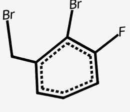 Fc1cccc(CBr)c1Br